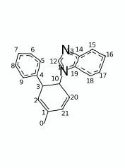 CC1=CC(c2ccccc2)C(n2cnc3ccccc32)C=C1